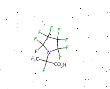 O=C(O)C(F)(N1C(F)(F)C(F)(F)C(F)(F)C1(F)F)C(F)(F)F